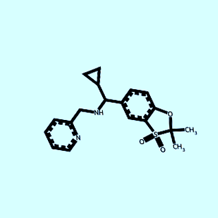 CC1(C)Oc2ccc(C(NCc3ccccn3)C3CC3)cc2S1(=O)=O